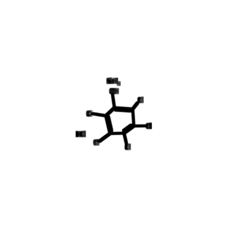 Cl.Oc1c(Cl)c(Cl)c(Cl)c(Cl)c1Cl.[SbH3]